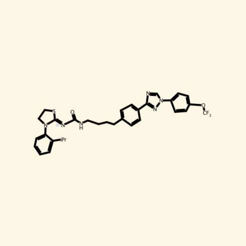 CC(C)c1ccccc1N1CCS/C1=N\C(=O)NCCCCc1ccc(-c2ncn(-c3ccc(OC(F)(F)F)cc3)n2)cc1